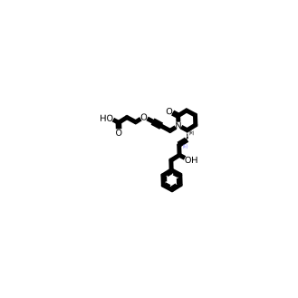 O=C(O)CCOC#CCN1C(=O)CCC[C@@H]1/C=C/C(O)Cc1ccccc1